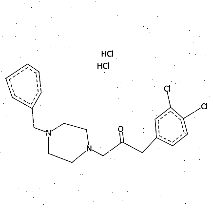 Cl.Cl.O=C(Cc1ccc(Cl)c(Cl)c1)CN1CCN(Cc2ccccc2)CC1